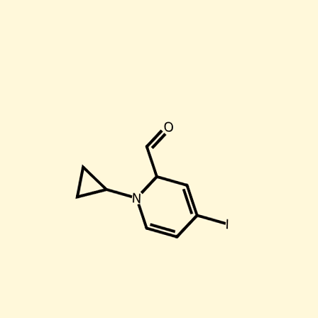 O=CC1C=C(I)C=CN1C1CC1